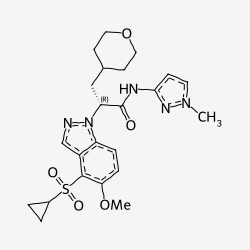 COc1ccc2c(cnn2[C@H](CC2CCOCC2)C(=O)Nc2ccn(C)n2)c1S(=O)(=O)C1CC1